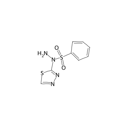 NN(c1nncs1)S(=O)(=O)c1ccccc1